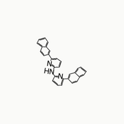 c1cc(Nc2cccc(-c3ccc4ccccc4c3)n2)nc(-c2ccc3ccccc3c2)c1